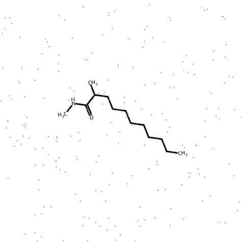 CCCCCCCCCC(C)C(=O)NC